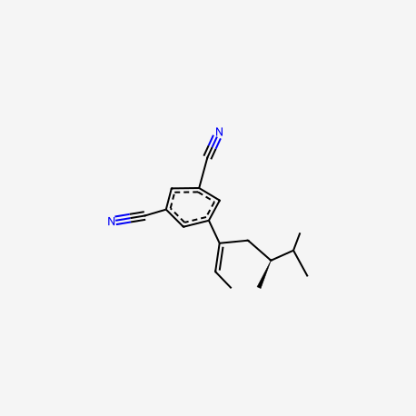 C/C=C(\C[C@H](C)C(C)C)c1cc(C#N)cc(C#N)c1